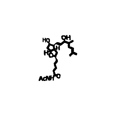 CC(=O)NC(=O)CCCC[C@@H]1C[C@@H]2[C@@H](C=C[C@@H](O)C(C)CC=C(C)C)[C@H](O)C[C@@H]2O1